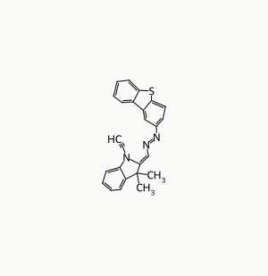 C#CN1/C(=C\N=Nc2ccc3sc4ccccc4c3c2)C(C)(C)c2ccccc21